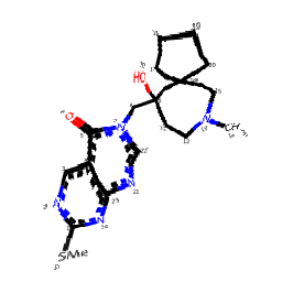 CSc1ncc2c(=O)n(CC3(O)CCN(C)CC34CCCC4)cnc2n1